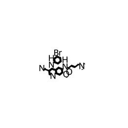 COc1cc2ncc(C#N)c(Nc3cccc(Br)c3)c2cc1NC(=O)C=CCN(C)C